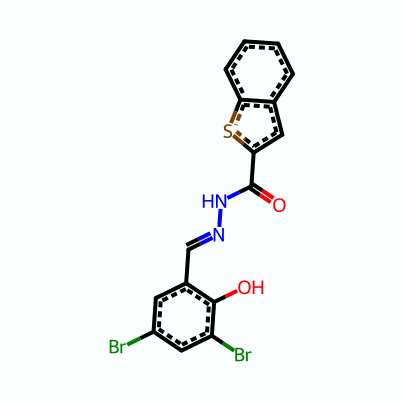 O=C(N/N=C/c1cc(Br)cc(Br)c1O)c1cc2ccccc2s1